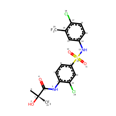 C[C@@](O)(C(=O)Nc1ccc(S(=O)(=O)Nc2ccc(Cl)c(C(F)(F)F)c2)cc1Cl)C(F)(F)F